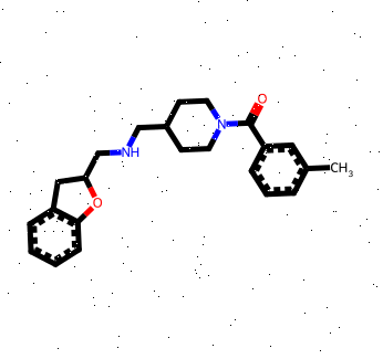 Cc1cccc(C(=O)N2CCC(CNCC3Cc4ccccc4O3)CC2)c1